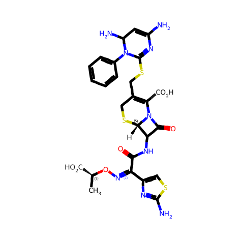 C[C@H](O/N=C(\C(=O)NC1C(=O)N2C(C(=O)O)=C(CSC3=NC(N)=CC(N)N3c3ccccc3)CS[C@@H]12)c1csc(N)n1)C(=O)O